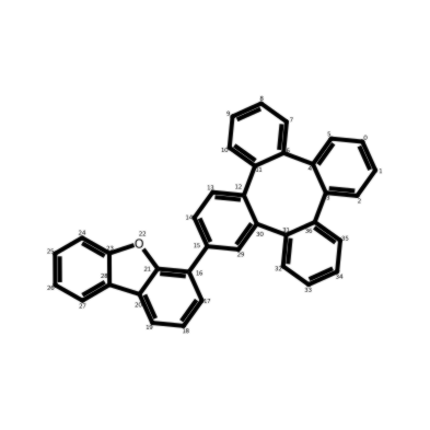 c1ccc2c(c1)-c1ccccc1-c1ccc(-c3cccc4c3oc3ccccc34)cc1-c1ccccc1-2